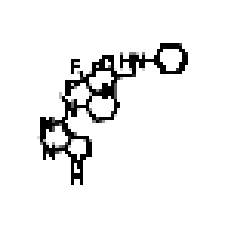 CN(c1ncnc2[nH]ccc12)C1CCCN(C(=O)CNc2ccccc2)C1C(F)(F)F